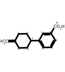 C=C1CCC(c2cccc(C(=O)O)c2)CC1